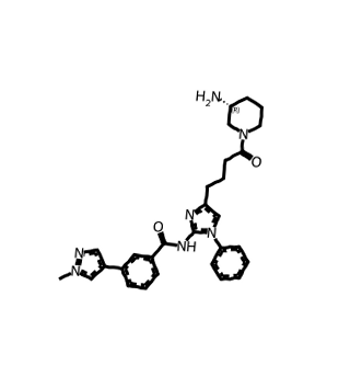 Cn1cc(-c2cccc(C(=O)Nc3nc(CCCC(=O)N4CCC[C@@H](N)C4)cn3-c3ccccc3)c2)cn1